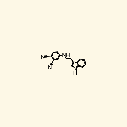 N#Cc1ccc(NCCc2c[nH]c3ccccc23)cc1C#N